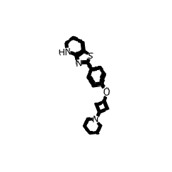 c1cc(-c2nc3c(s2)CCCN3)ccc1OC1CC(N2CCCCC2)C1